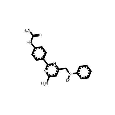 NC(=O)Nc1ccc(-c2nc(N)cc(C[S+]([O-])c3ccccc3)n2)cc1